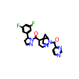 O=C(C1CCN2CC13CC3N2C(=O)c1ccncn1)N1N=CCC1c1cc(F)cc(F)c1